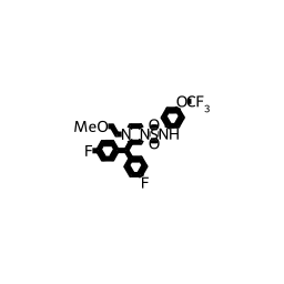 COCCN1CCN(S(=O)(=O)Nc2ccc(OC(F)(F)F)cc2)CC1C(c1ccc(F)cc1)c1ccc(F)cc1